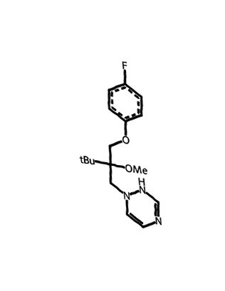 COC(COc1ccc(F)cc1)(CN1C=CN=CN1)C(C)(C)C